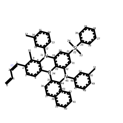 C=C/C=C\c1ccc2c(c1C)N(c1cccc(C)c1)c1cc([Si](C)(C)c3ccccc3)cc3c1B2c1ccc2ccccc2c1N3c1cccc(C)c1